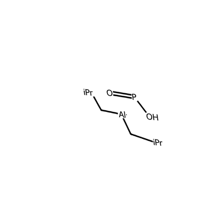 CC(C)[CH2][Al][CH2]C(C)C.O=PO